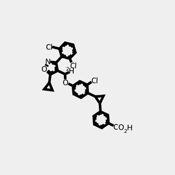 [2H]C(Oc1ccc(C2CC2c2cccc(C(=O)O)c2)c(Cl)c1)c1c(-c2c(Cl)cccc2Cl)noc1C1CC1